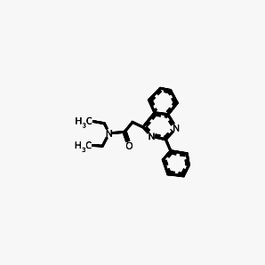 CCN(CC)C(=O)Cc1nc(-c2ccccc2)nc2ccccc12